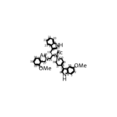 COc1ccc2[nH]cc(C3=CCN(N(C(C)=O)[C@H](Cc4c[nH]c5ccccc45)CN(Cc4ccccc4OC)C(C)=O)CC3)c2c1